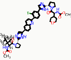 [2H]C([2H])([2H])C([2H])(C([2H])([2H])[2H])[C@@]([2H])(NC(=O)OC)C(=O)N1CCC[C@H]1c1ncc(-c2ccc3nc(-c4ccc(-c5cnc([C@@H]6CCCN6C(=O)[C@@H](NC(=O)OC)C6CCOCC6)[nH]5)cc4F)ccc3c2)[nH]1